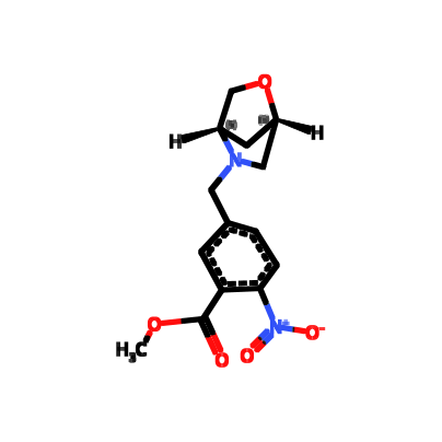 COC(=O)c1cc(CN2C[C@@H]3C[C@H]2CO3)ccc1[N+](=O)[O-]